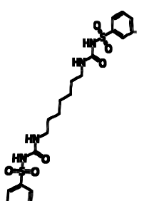 O=C(NCCCCCCCNC(=O)NS(=O)(=O)c1c[c]ccc1)NS(=O)(=O)c1c[c]ccc1